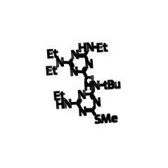 CCNc1nc(Cl)nc(N(CC)CC)n1.CCNc1nc(NC(C)(C)C)nc(SC)n1